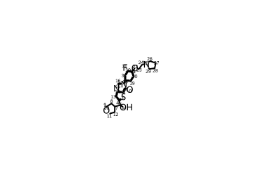 O=c1c2sc(C(O)C3CCOCC3)cc2ncn1-c1ccc(OCCN2CCCC2)c(F)c1